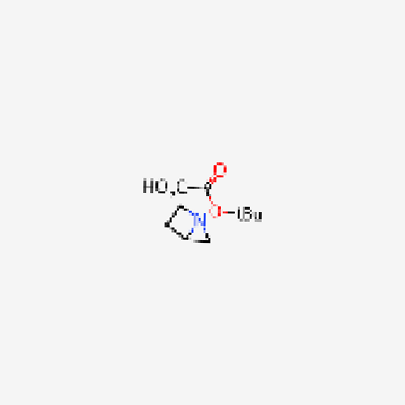 C1CN2CC12.CC(C)(C)OC(=O)C(=O)O